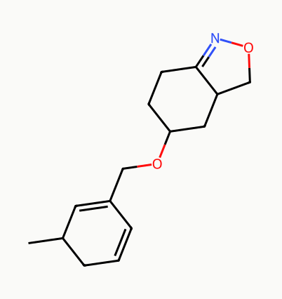 CC1C=C(COC2CCC3=NOCC3C2)C=CC1